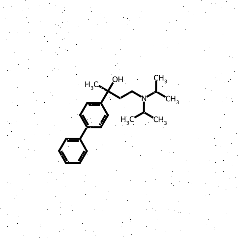 CC(C)N(CCC(C)(O)c1ccc(-c2ccccc2)cc1)C(C)C